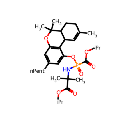 CCCCCc1cc2c(c(OP(=O)(NC(C)(C)C(=O)OC(C)C)C(=O)OC(C)C)c1)C1C=C(C)CCC1C(C)(C)O2